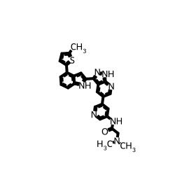 Cc1ccc(-c2cccc3[nH]c(-c4n[nH]c5ncc(-c6cncc(NC(=O)CN(C)C)c6)cc45)cc23)s1